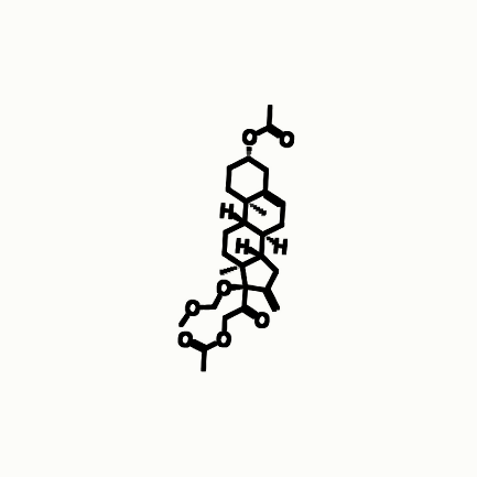 C=C1C[C@H]2[C@@H]3CC=C4C[C@@H](OC(C)=O)CC[C@]4(C)[C@H]3CC[C@]2(C)[C@@]1(OCOC)C(=O)COC(C)=O